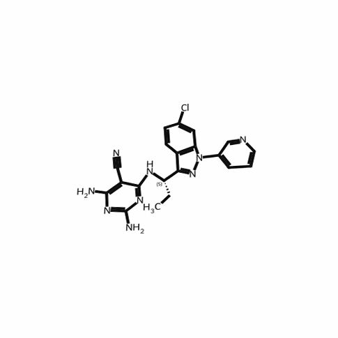 CC[C@H](Nc1nc(N)nc(N)c1C#N)c1nn(-c2cccnc2)c2cc(Cl)ccc12